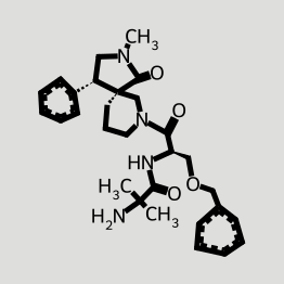 CN1C[C@@H](c2ccccc2)[C@@]2(CCCN(C(=O)[C@@H](COCc3ccccc3)NC(=O)C(C)(C)N)C2)C1=O